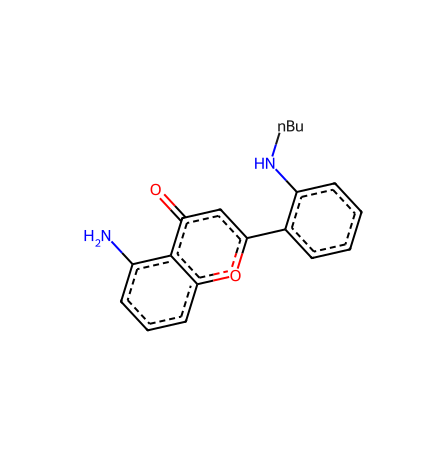 CCCCNc1ccccc1-c1cc(=O)c2c(N)cccc2o1